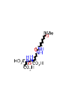 CNC(=O)CCCCCCCNC(=O)NCCCC[C@H](NC(=O)N[C@@H](CCC(=O)O)C(=O)O)C(=O)O